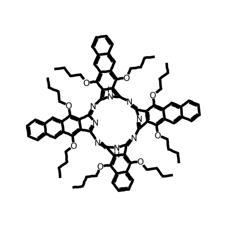 CCCCOc1c2c(c(OCCCC)c3cc4ccccc4cc13)-c1nc-2nc2[nH]c(nc3nc(nc4[nH]c(n1)c1c(OCCCC)c5cc6ccccc6cc5c(OCCCC)c41)-c1c-3c(OCCCC)c3cc4ccccc4cc3c1OCCCC)c1c(OCCCC)c3ccccc3c(OCCCC)c21